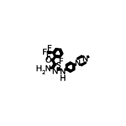 CN1CCN(c2ccc(Nc3nc(N)c(C(=O)c4c(F)cccc4C(F)(F)F)s3)cc2)CC1